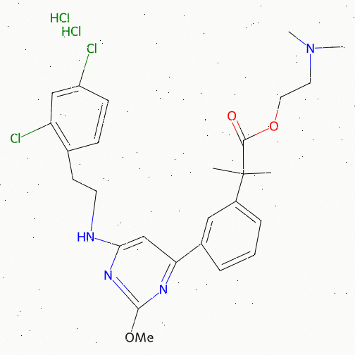 COc1nc(NCCc2ccc(Cl)cc2Cl)cc(-c2cccc(C(C)(C)C(=O)OCCN(C)C)c2)n1.Cl.Cl